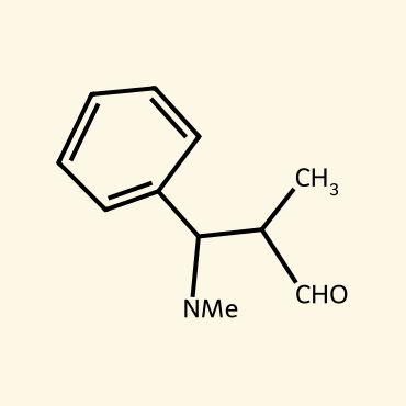 CNC(c1ccccc1)C(C)C=O